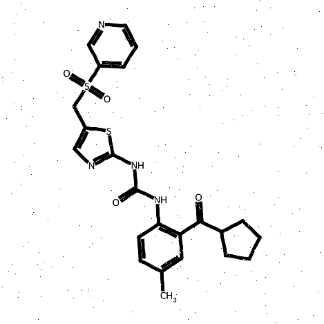 Cc1ccc(NC(=O)Nc2ncc(CS(=O)(=O)c3cccnc3)s2)c(C(=O)C2CCCC2)c1